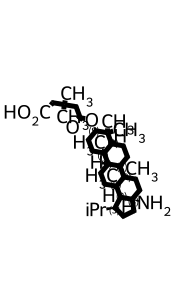 CC(C)[C@@H]1CC[C@]2(N)CC[C@]3(C)[C@H](CC[C@@H]4[C@@]5(C)CC[C@H](OC(=O)CC(C)(C)CC(=O)O)C(C)(C)[C@@H]5CC[C@]43C)[C@@H]12